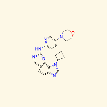 c1cc(Nc2ncc3ccc4ncn(C5CCC5)c4c3n2)ncc1N1CCOCC1